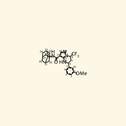 COc1cccc(C2CC(C(F)(F)F)n3ncc(C(=O)NC45CC6CC(CC(C6)C4)C5)c3N2)c1